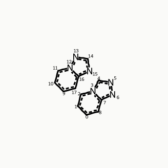 c1ccn2cnnc2c1.c1ccn2ncnc2c1